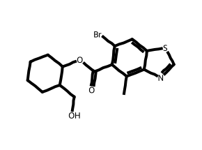 Cc1c(C(=O)OC2CCCCC2CO)c(Br)cc2scnc12